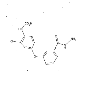 NNC(=O)c1cccc(Oc2ccc(NC(=O)O)c(Cl)c2)c1